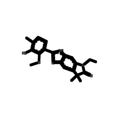 CCN1C(=O)C(C)(C)c2cc3nc(-c4ccc(C)c(S)c4OC)[nH]c3cc21